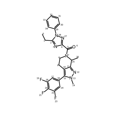 CCc1nc(C(=O)N2CCc3c(nn(C)c3-c3cc(F)c(F)c(F)c3)C2C)nn1-c1ccccc1